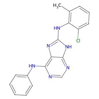 Cc1cccc(Cl)c1Nc1nc2c(Nc3ccccc3)ncnc2[nH]1